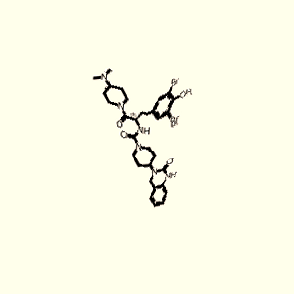 CN(C)C1CCN(C(=O)[C@@H](Cc2cc(Br)c(O)c(Br)c2)NC(=O)N2CCC(N3Cc4ccccc4NC3=O)CC2)CC1